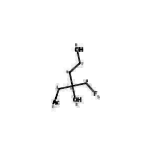 CC(=O)CC(O)(CF)CCO